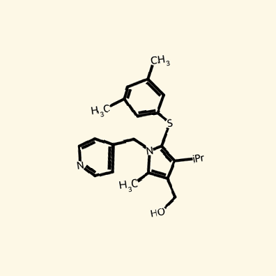 Cc1cc(C)cc(Sc2c(C(C)C)c(CO)c(C)n2Cc2ccncc2)c1